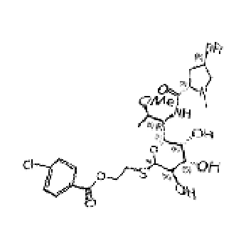 CCC[C@@H]1C[C@@H](C(=O)N[C@@H]([C@H]2O[C@H](SCCOC(=O)c3ccc(Cl)cc3)[C@H](O)[C@@H](O)[C@H]2O)[C@@H](C)OC)N(C)C1